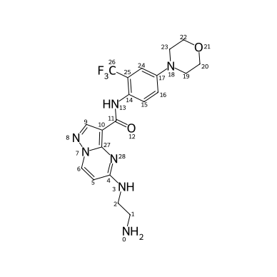 NCCNc1ccn2ncc(C(=O)Nc3ccc(N4CCOCC4)cc3C(F)(F)F)c2n1